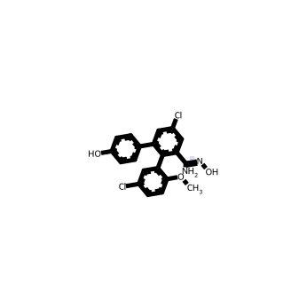 COc1ccc(Cl)cc1-c1c(/C(N)=N/O)cc(Cl)cc1-c1ccc(O)cc1